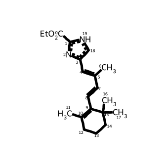 CCOC(=O)c1nc(C=C(C)C=CC2=C(C)CCCC2(C)C)c[nH]1